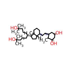 C=C1/C(=C\C=C2/CCC[C@]3(C)[C@@H](C(CCCC(C)(C)O)CCCC(C)(C)O)CC[C@@H]23)C[C@H](O)C[C@H]1O